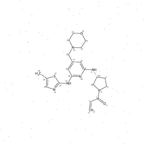 C=CC(=O)N1CC[C@@H](Nc2cc(CN3CCOCC3)cc(Nc3ncc(C)s3)n2)C1